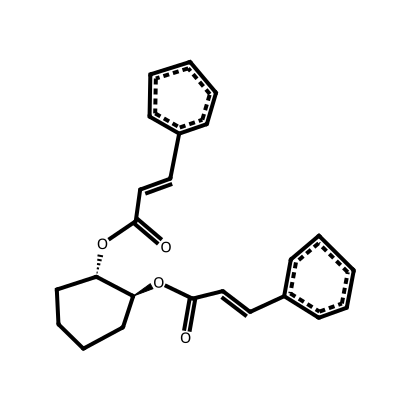 O=C(C=Cc1ccccc1)O[C@H]1CCCC[C@@H]1OC(=O)/C=C/c1ccccc1